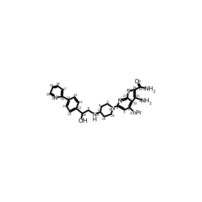 CCCc1cc(N2CCC(NCC(O)c3ccc(-c4ccccn4)cc3)CC2)nc2sc(C(N)=O)c(N)c12